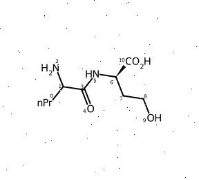 CCCC(N)C(=O)N[C@H](CCO)C(=O)O